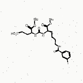 CC(C)(C)OC(=O)C(CCCCNC(=O)c1cccc(I)c1)NC(=O)NC(CCC(=O)O)C(=O)OC(C)(C)C